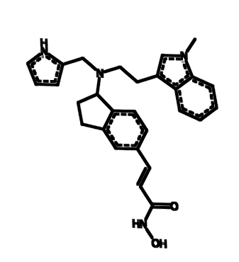 Cn1cc(CCN(Cc2ccc[nH]2)C2CCc3cc(/C=C/C(=O)NO)ccc32)c2ccccc21